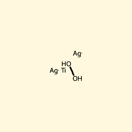 OO.[Ag].[Ag].[Ti]